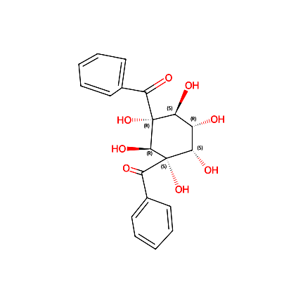 O=C(c1ccccc1)[C@@]1(O)[C@@H](O)[C@@](O)(C(=O)c2ccccc2)[C@@H](O)[C@H](O)[C@@H]1O